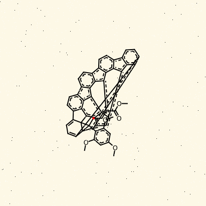 COC(=O)CCCC1(c2c(OC)cc(OC)cc2OC)C23C4=CC=C5c6ccc7c8ccc9c%10ccc%11c%12ccc4c4c2c2c%13c(c6c7c6c8c9c7c%10c%11c(c4%12)c2c7c%136)C513